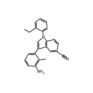 CCc1ccccc1-n1cc(-c2cccc(N)c2C)c2cc(C#N)ccc21